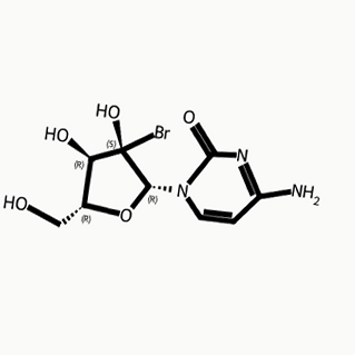 Nc1ccn([C@@H]2O[C@H](CO)[C@@H](O)[C@]2(O)Br)c(=O)n1